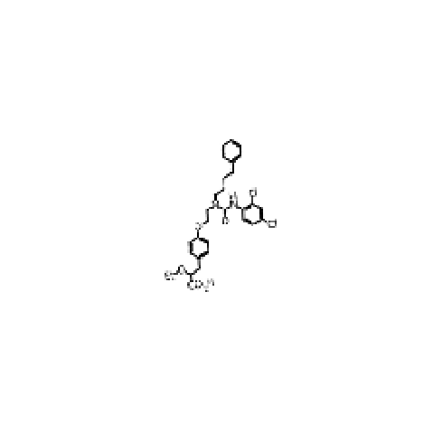 CCOC(Cc1ccc(OCCN(CCCCc2ccccc2)C(=O)Nc2ccc(Cl)cc2Cl)cc1)C(=O)O